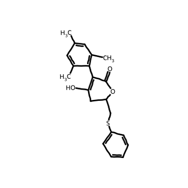 Cc1cc(C)c(C2=C(O)CC(CSc3ccccc3)OC2=O)c(C)c1